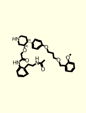 COc1ccccc1COCCCOc1ccc([C@H]2CCNC[C@@H]2OCC(=O)Nc2ccccc2CCNC(C)=O)cc1